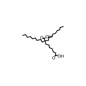 CCCCCCCCCC(CCCCCCCCC)(CCCCCCC(=O)O)C(=O)O